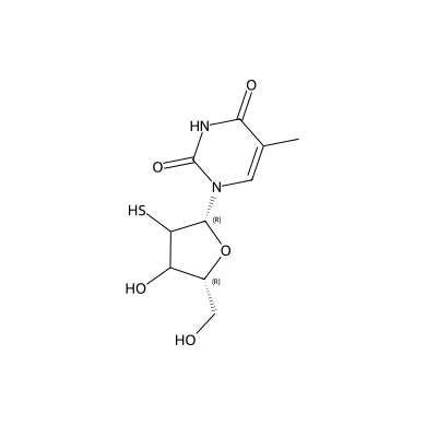 Cc1cn([C@@H]2O[C@H](CO)C(O)C2S)c(=O)[nH]c1=O